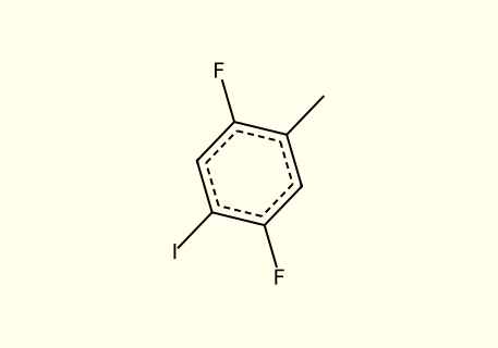 Cc1cc(F)c(I)cc1F